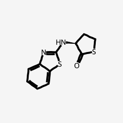 O=C1SCC[C@@H]1Nc1nc2ccccc2s1